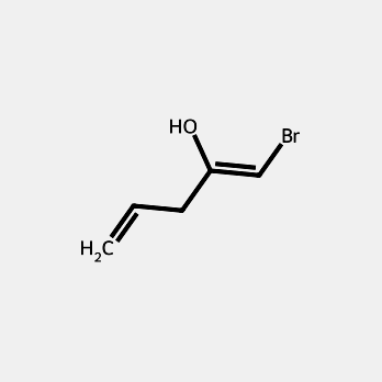 C=CCC(O)=CBr